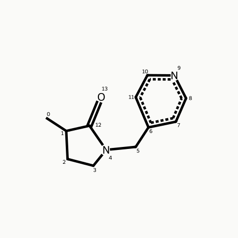 C[C]1CCN(Cc2ccncc2)C1=O